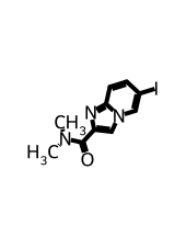 CN(C)C(=O)c1cn2cc(I)ccc2n1